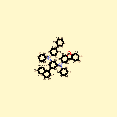 c1ccc(-c2ccc(N(c3ccccc3)c3cc(-c4cccc5ccccc45)cc(N(c4ccccc4)c4ccc5oc6ccccc6c5c4)c3)cc2)cc1